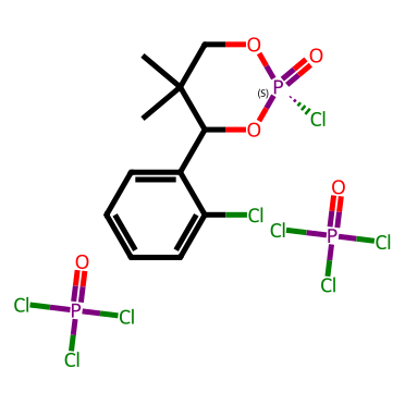 CC1(C)CO[P@](=O)(Cl)OC1c1ccccc1Cl.O=P(Cl)(Cl)Cl.O=P(Cl)(Cl)Cl